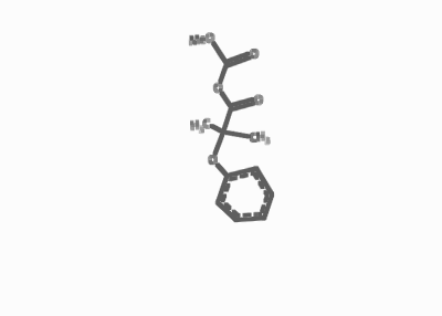 COC(=O)OC(=O)C(C)(C)Oc1ccccc1